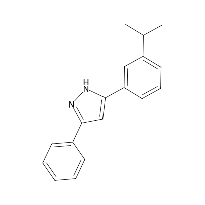 CC(C)c1cccc(-c2cc(-c3ccccc3)n[nH]2)c1